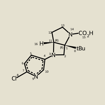 CC(C)(C)[C@@]12CN(c3ccc(Cl)nc3)[C@@H]1CCN2C(=O)O